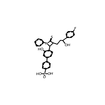 O=P(O)(O)c1ccc(-c2ccc(C3C(CCC(O)c4ccc(F)cc4)C(=S)N3c3ccccc3)c(O)c2)cc1